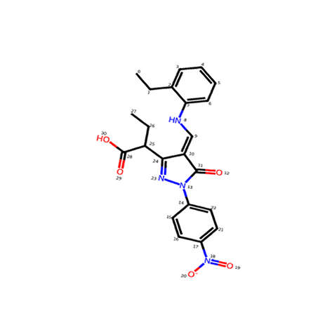 CCc1ccccc1NC=C1C(=O)N(c2ccc([N+](=O)[O-])cc2)N=C1C(CC)C(=O)O